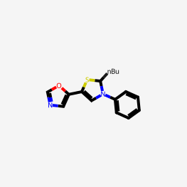 CCCCC1SC(c2cnco2)=[C]N1c1ccccc1